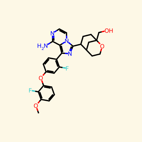 COc1cccc(Oc2ccc(-c3nc(C4CCC5(CO)CC4CCO5)n4ccnc(N)c34)c(F)c2)c1F